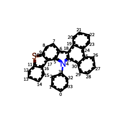 c1ccc(-n2c3c(ccc4sc5ccccc5c43)c3c4ccccc4c4ccccc4c32)cc1